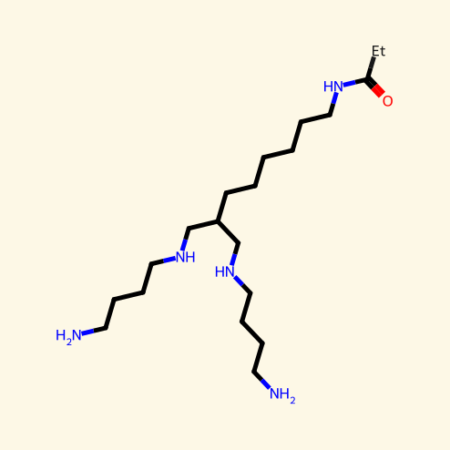 CCC(=O)NCCCCCCC(CNCCCCN)CNCCCCN